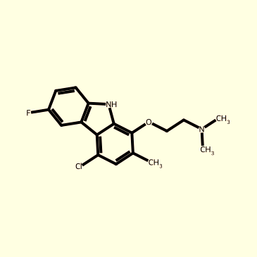 Cc1cc(Cl)c2c([nH]c3ccc(F)cc32)c1OCCN(C)C